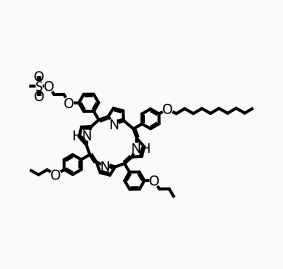 CCCCCCCCCCOc1ccc(-c2c3nc(c(-c4cccc(OCCOS(C)(=O)=O)c4)c4ccc([nH]4)c(-c4ccc(OCCC)cc4)c4nc(c(-c5cccc(OCCC)c5)c5ccc2[nH]5)C=C4)C=C3)cc1